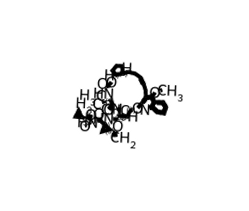 C=C[C@@H]1C[C@]1(NC(=O)[C@@H]1C[C@@H]2CN1C(=O)[C@H](C(C)(C)C)NC(=O)O[C@@H]1CCC[C@H]1CCC=CCc1c(nc3ccccc3c1OC)O2)C(=O)NS(=O)(=O)C1CC1